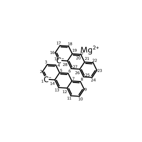 [Mg+2].[c-]1cccc2cc3ccccc3cc12.[c-]1cccc2cc3ccccc3cc12